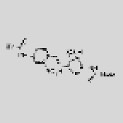 CNC(=S)Nc1ccc(C=Cc2ccc(NC(=O)C(C)C)cc2S(=O)(=O)O)c(S(=O)(=O)O)c1